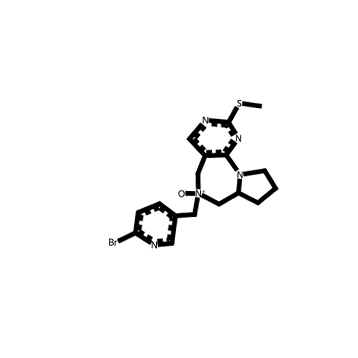 CSc1ncc2c(n1)N1CCCC1C[N+]([O-])(Cc1ccc(Br)nc1)C2